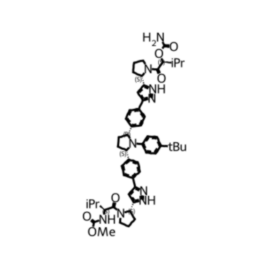 COC(=O)N[C@H](C(=O)N1CCC[C@H]1c1cc(-c2ccc([C@@H]3CC[C@H](c4ccc(-c5cc([C@@H]6CCCN6C(=O)[C@@H](OC(N)=O)C(C)C)[nH]n5)cc4)N3c3ccc(C(C)(C)C)cc3)cc2)n[nH]1)C(C)C